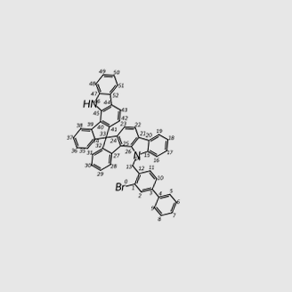 Brc1cc(-c2ccccc2)ccc1Cn1c2ccccc2c2ccc3c(c21)-c1ccccc1C31c2ccccc2-c2c1ccc1c2[nH]c2ccccc21